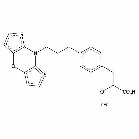 CCCOC(Cc1ccc(CCCN2c3sccc3Oc3ccsc32)cc1)C(=O)O